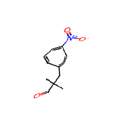 CC(C)(C=O)Cc1cccc([N+](=O)[O-])c1